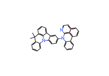 CC1(C)c2ccccc2-n2c3ccc(N(c4ccccn4)c4ccccc4-c4ccccc4)cc3c3cccc1c32